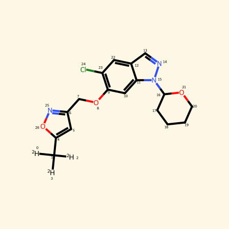 [2H]C([2H])([2H])c1cc(COc2cc3c(cnn3C3CCCCO3)cc2Cl)no1